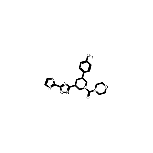 O=C(N1CCOCC1)N1CC(c2ccc(C(F)(F)F)cc2)CC(c2noc(-c3ncc[nH]3)n2)C1